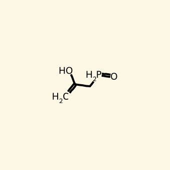 C=C(O)C[PH2]=O